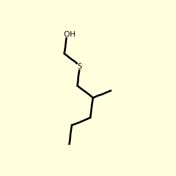 CCCC(C)CSCO